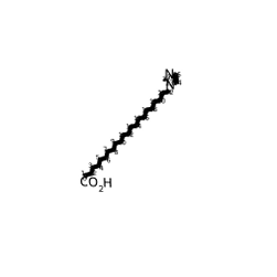 O=C(O)CCCCCCCCCCCCCCCCCCCCCCn1ccnc1